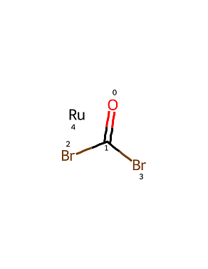 O=C(Br)Br.[Ru]